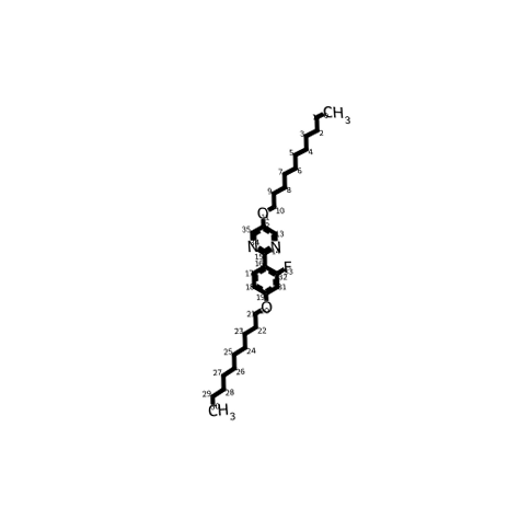 CCCCCCCCCCCOc1cnc(-c2ccc(OCCCCCCCCCC)cc2F)nc1